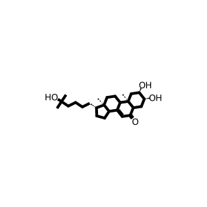 CC(C)(O)CCCC[C@H]1CCC2C3=CC(=O)C4C[C@@H](O)[C@@H](O)C[C@]4(C)C3CC[C@@]21C